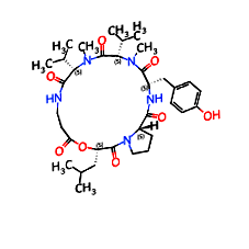 CC(C)C[C@@H]1OC(=O)CCNC(=O)[C@H](C(C)C)N(C)C(=O)[C@H](C(C)C)N(C)C(=O)[C@H](Cc2ccc(O)cc2)NC(=O)[C@@H]2CCCN2C1=O